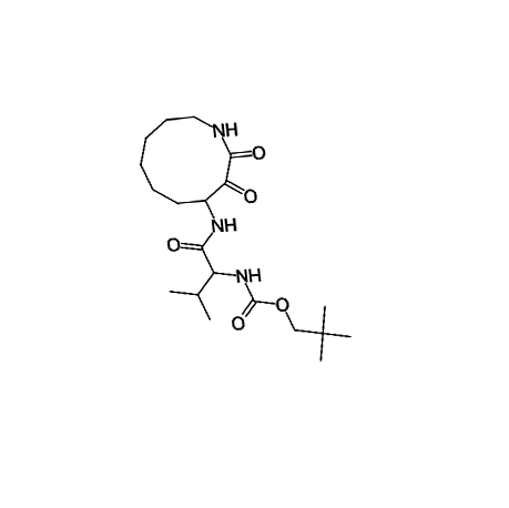 CC(C)C(NC(=O)OCC(C)(C)C)C(=O)NC1CCCCCCNC(=O)C1=O